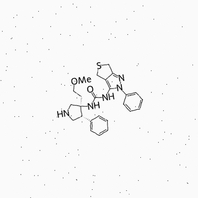 COCC[C@@]1(NC(=O)Nc2c3c(nn2-c2ccccc2)CSC3)CNC[C@H]1c1ccccc1